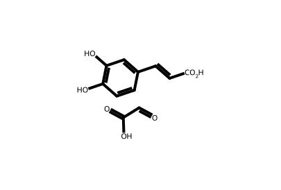 O=C(O)C=Cc1ccc(O)c(O)c1.O=CC(=O)O